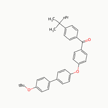 CCCC(C)(C)c1ccc(C(=O)c2ccc(Oc3ccc(-c4ccc(OC(C)(C)C)cc4)cc3)cc2)cc1